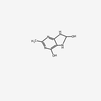 Cc1nc(O)c2c(n1)NC(O)N2